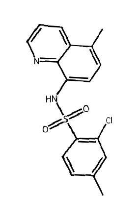 Cc1ccc(S(=O)(=O)Nc2ccc(C)c3cccnc23)c(Cl)c1